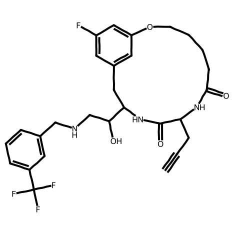 C#CCC1NC(=O)CCCCOc2cc(F)cc(c2)CC(C(O)CNCc2cccc(C(F)(F)F)c2)NC1=O